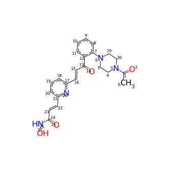 CC(=O)N1CCN(c2ccccc2C(=O)C=Cc2cccc(C=CC(=O)NO)n2)CC1